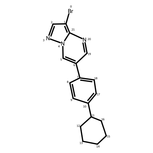 Brc1cnn2cc(-c3ccc(C4CCCCC4)cc3)cnc12